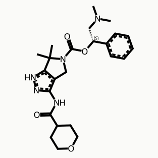 CN(C)C[C@@H](OC(=O)N1Cc2c(NC(=O)C3CCOCC3)n[nH]c2C1(C)C)c1ccccc1